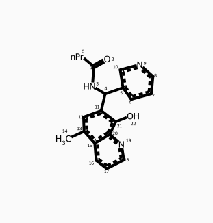 CCCC(=O)NC(c1cccnc1)c1cc(C)c2cccnc2c1O